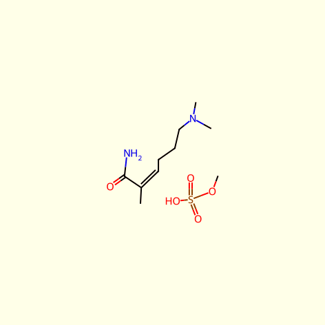 CC(=CCCCN(C)C)C(N)=O.COS(=O)(=O)O